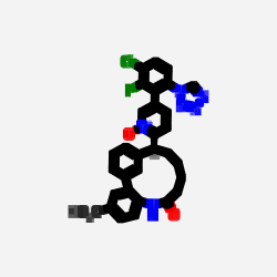 O=C1CCCC[C@H](c2ccc(-c3c(-n4cnnn4)ccc(Cl)c3F)c[n+]2[O-])c2cccc(c2)-c2cc(C(=O)O)ccc2N1